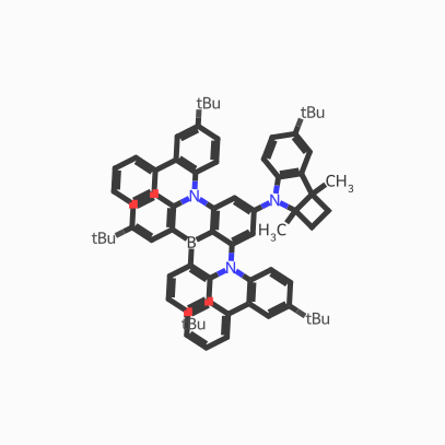 CC(C)(C)c1ccc2c(c1)B1c3ccc(C(C)(C)C)cc3N(c3ccc(C(C)(C)C)cc3-c3ccccc3)c3cc(N4c5ccc(C(C)(C)C)cc5C5(C)CCC45C)cc(c31)N2c1ccc(C(C)(C)C)cc1-c1ccccc1